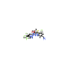 CC(C)(Sc1ccc(C#N)cc1F)C(=O)Nc1ccc(C(F)(F)F)cn1